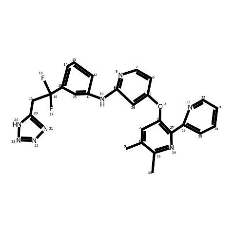 Cc1cc(Oc2ccnc(Nc3cccc(C(F)(F)Cc4nnn[nH]4)c3)c2)c(-c2ccccn2)nc1C